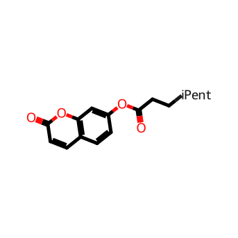 CCCC(C)CCC(=O)Oc1ccc2ccc(=O)oc2c1